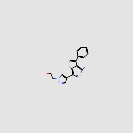 Nc1ncc(-c2cnn(CCO)c2)c2scc(-c3cc[c]cc3)c12